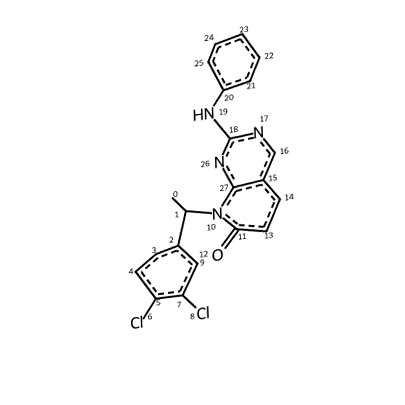 CC(c1ccc(Cl)c(Cl)c1)n1c(=O)ccc2cnc(Nc3ccccc3)nc21